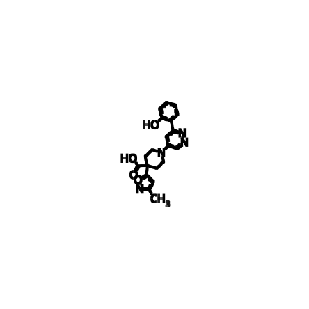 Cc1cc(C2(C(=O)O)CCN(c3cnnc(-c4ccccc4O)c3)CC2)on1